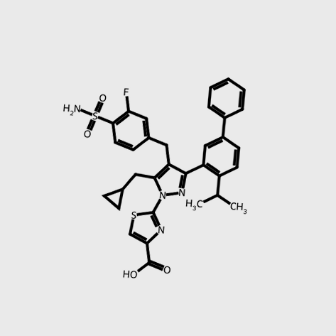 CC(C)c1ccc(-c2ccccc2)cc1-c1nn(-c2nc(C(=O)O)cs2)c(CC2CC2)c1Cc1ccc(S(N)(=O)=O)c(F)c1